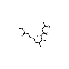 COC(=O)CCCCC(C)C(C)NC(=O)CC(C)=O